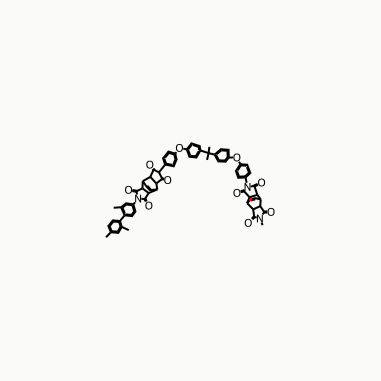 Cc1ccc(-c2ccc(N3C(=O)C4C5C=CC(C6C(=O)C(c7ccc(Oc8ccc(C(C)(C)c9ccc(Oc%10ccc(N%11C(=O)C%12C%13C=CC(C%14C(=O)N(C)C(=O)C%13%14)C%12C%11=O)cc%10)cc9)cc8)cc7)C(=O)C56)C4C3=O)cc2C)c(C)c1